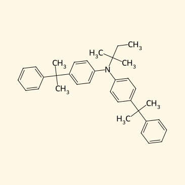 CCC(C)(C)N(c1ccc(C(C)(C)c2ccccc2)cc1)c1ccc(C(C)(C)c2ccccc2)cc1